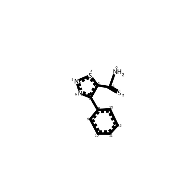 NC(=S)c1snnc1-c1ccccc1